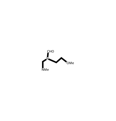 CNCN(C=O)CCOC